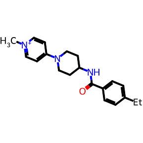 CCc1ccc(C(=O)NC2CCN(c3cc[n+](C)cc3)CC2)cc1